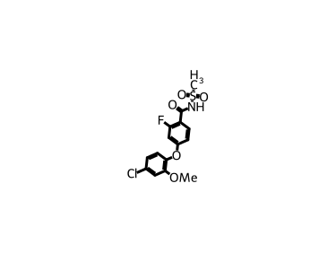 COc1cc(Cl)ccc1Oc1ccc(C(=O)NS(C)(=O)=O)c(F)c1